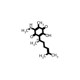 CNC1=C(C)C(=O)C(O)=C([C@H](C)CCC=C(C)C)C1=O